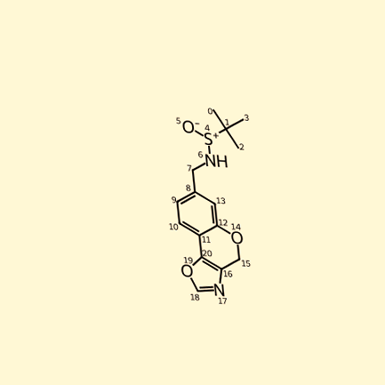 CC(C)(C)[S+]([O-])NCc1ccc2c(c1)OCc1ncoc1-2